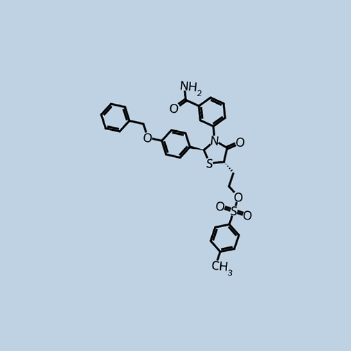 Cc1ccc(S(=O)(=O)OCC[C@@H]2S[C@@H](c3ccc(OCc4ccccc4)cc3)N(c3cccc(C(N)=O)c3)C2=O)cc1